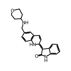 O=C1Nc2ccccc2C1=C1C=Cc2cc(CNC3CCOCC3)ccc2N1